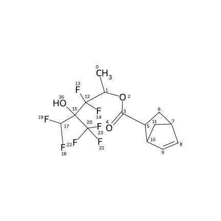 CC(OC(=O)C1CC2C=CC1C2)C(F)(F)C(O)(C(F)F)C(F)(F)F